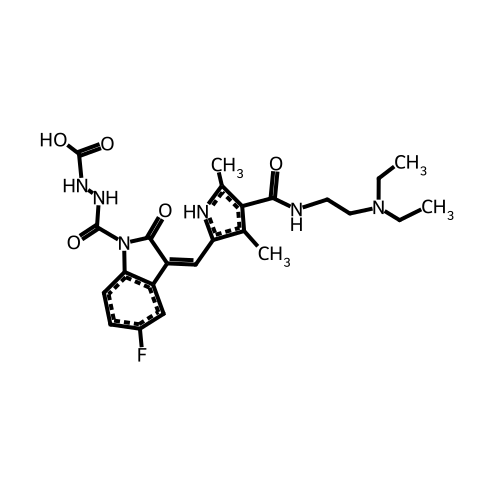 CCN(CC)CCNC(=O)c1c(C)[nH]c(/C=C2\C(=O)N(C(=O)NNC(=O)O)c3ccc(F)cc32)c1C